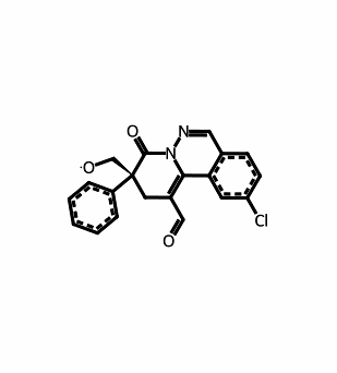 [O]C[C@]1(c2ccccc2)CC(C=O)=C2c3cc(Cl)ccc3C=NN2C1=O